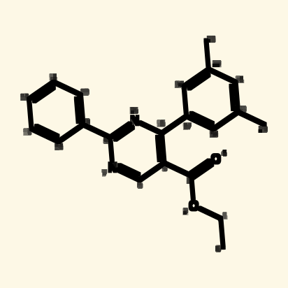 CCOC(=O)c1cnc(-c2ccccc2)nc1-c1cc(C)cc(C)c1